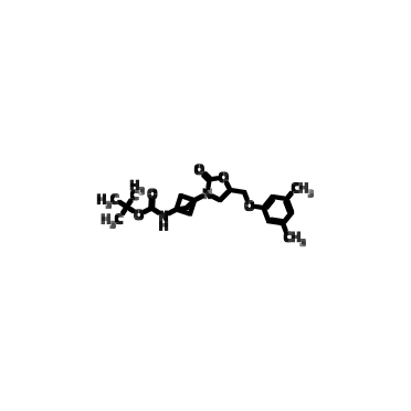 Cc1cc(C)cc(OCC2CN(C34CC(NC(=O)OC(C)(C)C)(C3)C4)C(=O)O2)c1